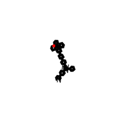 c1ccc(-c2nc(-c3ccc(-c4ccc(-c5ccc6c(c5)-c5ccccc5C6(c5ccccc5)c5ccccc5)cc4)cc3)nc(-c3ccc(-c4cccnc4)cc3)n2)cc1